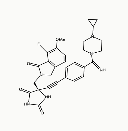 COc1ccc2c(c1F)C(=O)N(C[C@@]1(C#Cc3ccc(C(=N)N4CCN(C5CC5)CC4)cc3)NC(=O)NC1=O)C2